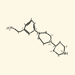 NCc1cccc(N2CCN(C3CCNCC3)CC2)c1